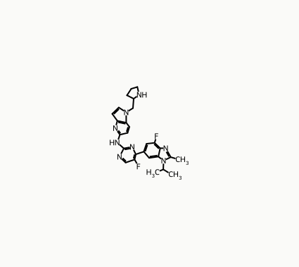 Cc1nc2c(F)cc(-c3nc(Nc4ccc5c(ccn5CC5CCCN5)n4)ncc3F)cc2n1C(C)C